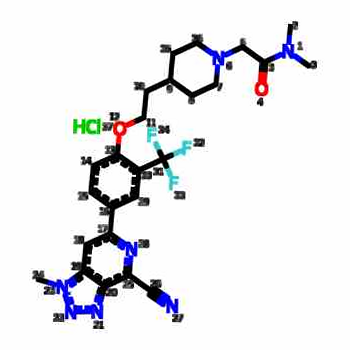 CN(C)C(=O)CN1CCC(CCOc2ccc(-c3cc4c(nnn4C)c(C#N)n3)cc2C(F)(F)F)CC1.Cl